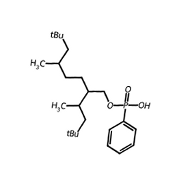 CC(CCC(COP(=O)(O)c1ccccc1)C(C)CC(C)(C)C)CC(C)(C)C